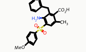 COc1ccc(S(=O)(=O)c2cc(C)c(C(=O)O)c(Cc3ccccc3)c2N)cc1